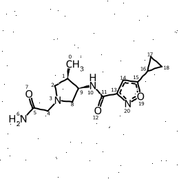 C[C@@H]1CN(CC(N)=O)C[C@@H]1NC(=O)c1cc(C2CC2)on1